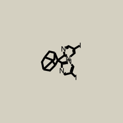 Ic1cnc(C2(c3ncc(I)cn3)C3CC4CC(C3)CC2C4)nc1